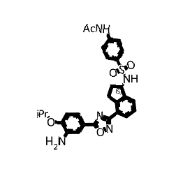 CC(=O)Nc1ccc(S(=O)(=O)N[C@H]2CCc3c(-c4noc(-c5ccc(OC(C)C)c(N)c5)n4)cccc32)cc1